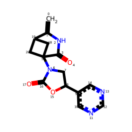 C=C1NC(=O)C2(N3CC(c4cncnc4)OC3=O)CC1C2